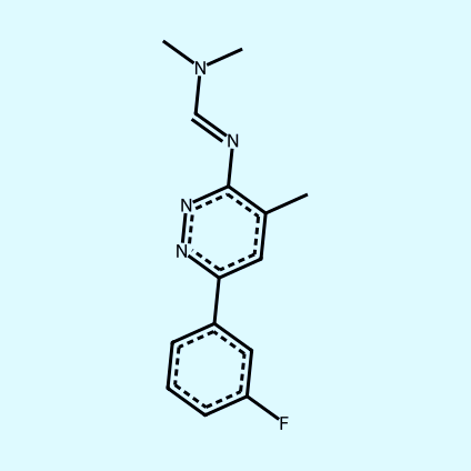 Cc1cc(-c2cccc(F)c2)nnc1N=CN(C)C